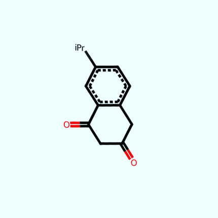 CC(C)c1ccc2c(c1)C(=O)CC(=O)C2